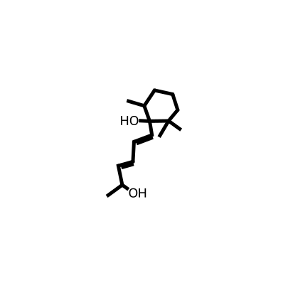 CC(O)C=CC=CC1(O)C(C)CCCC1(C)C